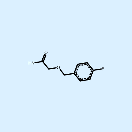 [NH]C(=O)COCc1ccc(F)cc1